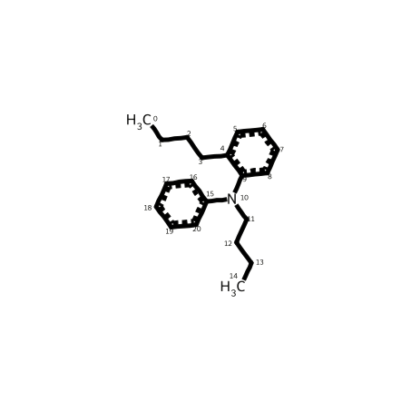 CCCCc1ccccc1N(CCCC)c1ccccc1